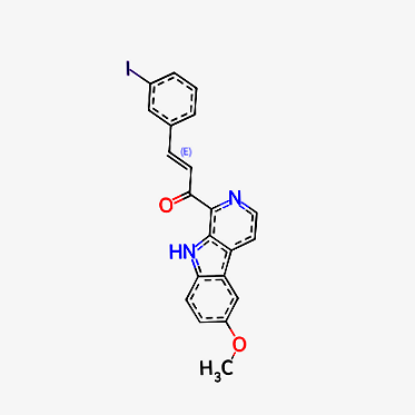 COc1ccc2[nH]c3c(C(=O)/C=C/c4cccc(I)c4)nccc3c2c1